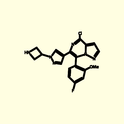 COc1cc(F)ccc1-c1c(-c2cnn(C3CNC3)c2)nc(Cl)c2ccnn12